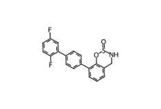 O=S1NCc2cccc(-c3ccc(-c4cc(F)ccc4F)cc3)c2O1